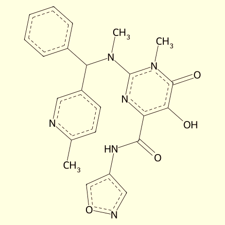 Cc1ccc(C(c2ccccc2)N(C)c2nc(C(=O)Nc3cnoc3)c(O)c(=O)n2C)cn1